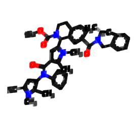 Cc1c(N(C(=O)c2cc(C3c4cc(C(=O)N5Cc6ccccc6C[C@H]5C)ccc4CCN3C(=O)OC(C)(C)C)n(C)c2C)c2ccccc2)cc(C#N)n1C